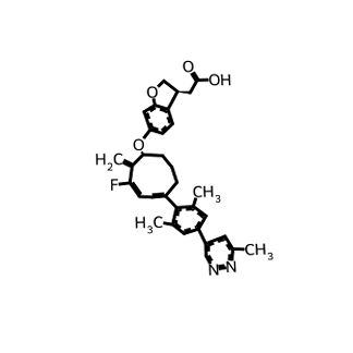 C=C1/C(F)=C\C=C(\c2c(C)cc(-c3cnnc(C)c3)cc2C)CCC[C@H]1Oc1ccc2c(c1)OC[C@H]2CC(=O)O